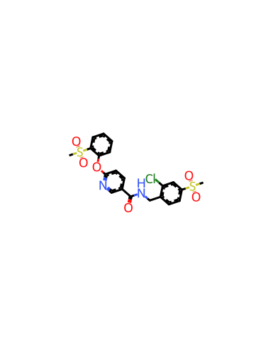 CS(=O)(=O)c1ccc(CNC(=O)c2ccc(Oc3ccccc3S(C)(=O)=O)nc2)c(Cl)c1